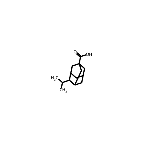 CC(C)C1C2CC3CC1CC(C(=O)O)(C3)C2